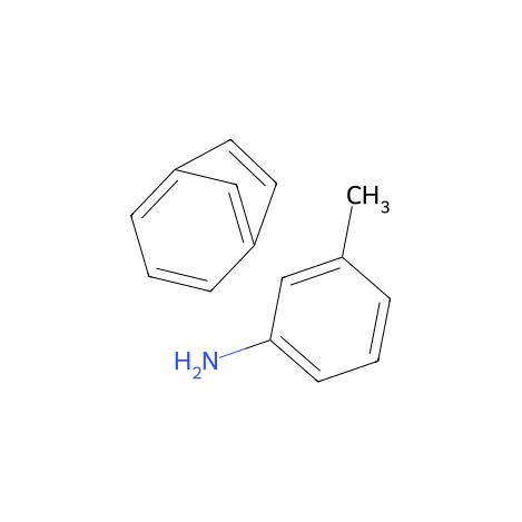 C1=Cc2cccc1c2.Cc1cccc(N)c1